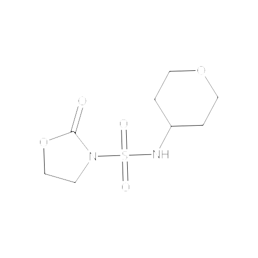 O=C1OCCN1S(=O)(=O)NC1CCOCC1